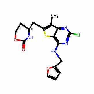 Cc1c(C[C@@H]2CCOC(=O)N2)sc2c(NCc3ccco3)nc(Cl)nc12